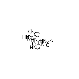 O=C(Nc1cc(Nc2cccc(Cl)c2-c2cn[nH]c2)c2c(=O)[nH]ccc2n1)C1CC1